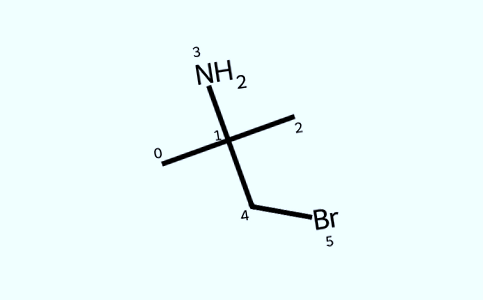 CC(C)(N)CBr